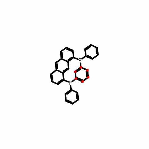 c1ccc(P(c2ccccc2)c2cccc3cc4cccc(P(c5ccccc5)c5ccccc5)c4cc23)cc1